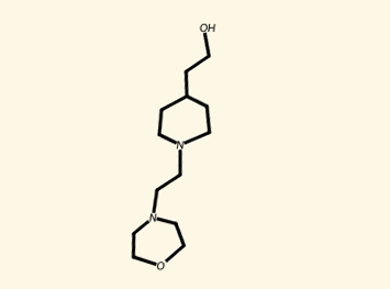 OCCC1CCN(CCN2CCOCC2)CC1